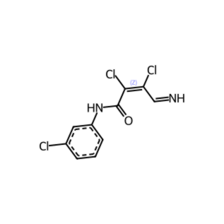 N=C/C(Cl)=C(/Cl)C(=O)Nc1cccc(Cl)c1